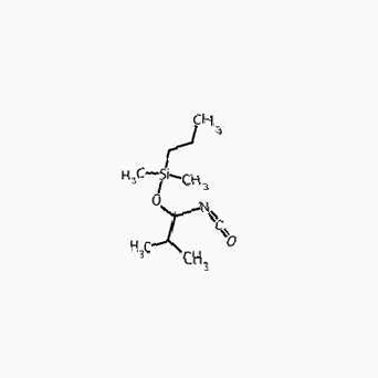 CCC[Si](C)(C)O[C](N=C=O)C(C)C